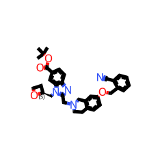 CC(C)(C)OC(=O)c1ccc2nc(CN3CCc4ccc(OCc5ccccc5C#N)cc4C3)n(C[C@@H]3CCO3)c2c1